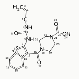 C=CCNC(=O)Nc1sc2ccccc2c1C(=O)N1CCN(C(=O)O)CC1